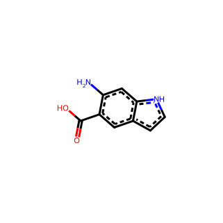 Nc1cc2[nH]ccc2cc1C(=O)O